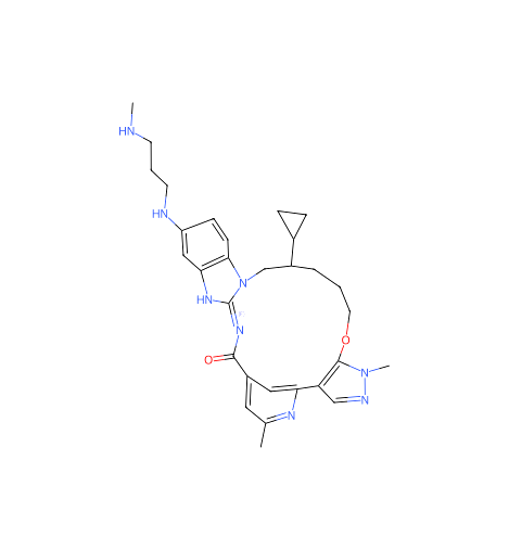 CNCCCNc1ccc2c(c1)N/C1=N\C(=O)c3cc(C)nc(c3)-c3cnn(C)c3OCCCC(C3CC3)CN12